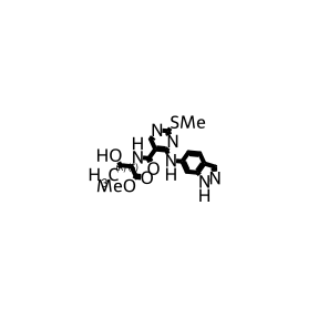 COC(=O)[C@@H](NC(=O)c1cnc(SC)nc1Nc1ccc2cn[nH]c2c1)[C@@H](C)O